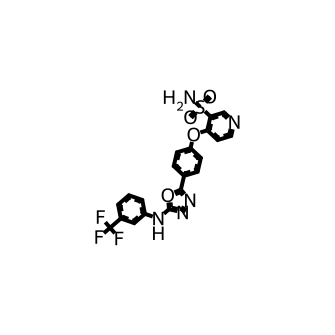 NS(=O)(=O)c1cnccc1Oc1ccc(-c2nnc(Nc3cccc(C(F)(F)F)c3)o2)cc1